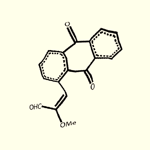 COC(C=O)=Cc1cccc2c1C(=O)c1ccccc1C2=O